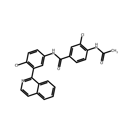 CC(=O)Nc1ccc(C(=O)Nc2ccc(Cl)c(-c3nccc4ccccc34)c2)cc1Cl